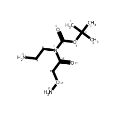 CC(C)(C)OC(=O)N(CCN)C(=O)CON